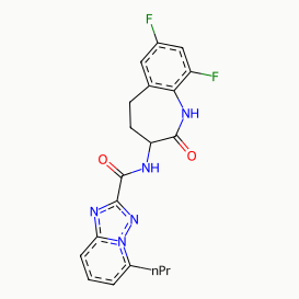 CCCc1cccc2nc(C(=O)NC3CCc4cc(F)cc(F)c4NC3=O)nn12